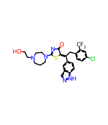 O=C1N=C(N2CCCN(CCO)CC2)SC1=C(Cc1ccc(Cl)cc1C(F)(F)F)c1ccc2[nH]ncc2c1